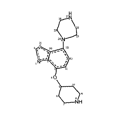 c1nc2c(OC3CCNCC3)ccc(N3CCNCC3)c2s1